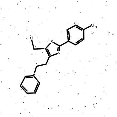 FC(F)(F)c1ccc(-c2nc(CCc3ccccc3)c(CCl)s2)cc1